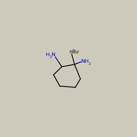 [CH2]CC[CH]C1(N)CCCCC1N